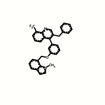 Cn1ccc2cccc(COc3cccc(-c4c(Cc5ccccc5)cnc5c(C(F)(F)F)cccc45)c3)c21